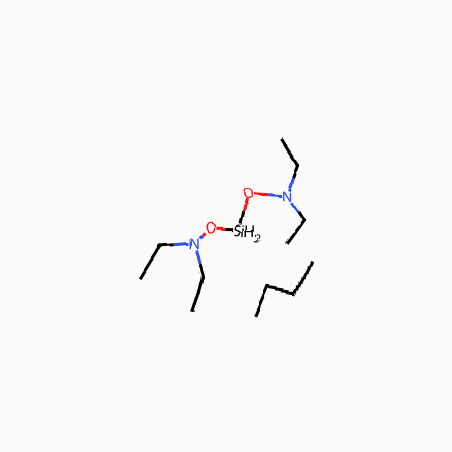 CCCC.CCN(CC)O[SiH2]ON(CC)CC